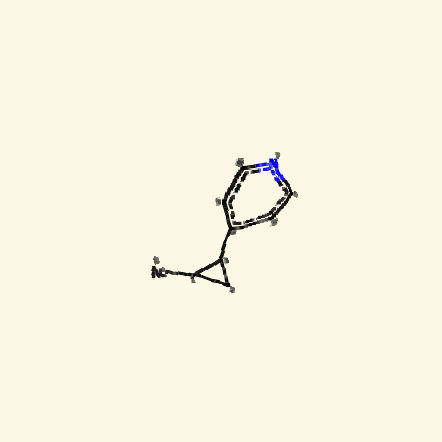 CC(=O)C1CC1c1ccncc1